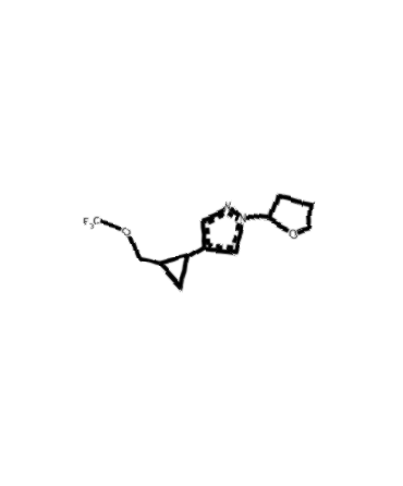 FC(F)(F)OCC1CC1c1cnn(C2CCCO2)c1